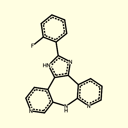 Fc1ccccc1-c1nc2c([nH]1)-c1ccncc1Nc1ncccc1-2